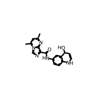 Cc1cc(C)n2cnc(C(=O)Nc3ccc4c(c3)C(O)C=CN4)c2n1